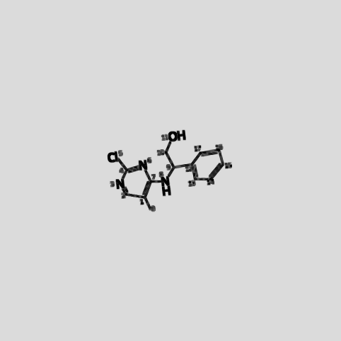 Cc1cnc(Cl)nc1NC(CO)c1ccccc1